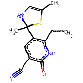 CCc1[nH]c(=O)c(C#N)cc1C1(C)NC=C(C)S1